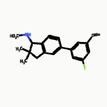 COc1cc(F)cc(-c2ccc3c(c2)CC(C)(C)C3NC(=O)O)c1